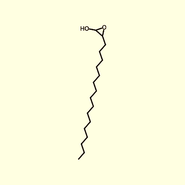 CCCCCCCCCCCCCCCCC1OC1O